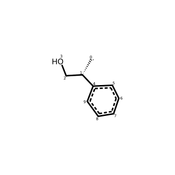 [CH2][C@@H](CO)c1ccccc1